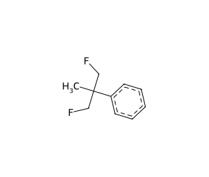 CC(CF)(CF)c1ccccc1